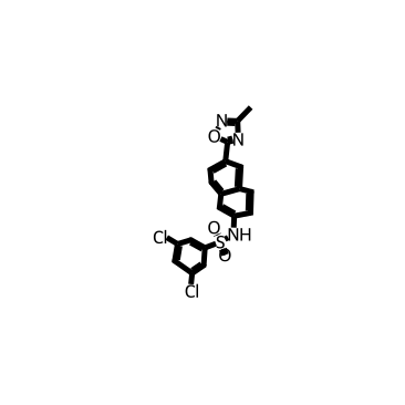 Cc1noc(-c2ccc3cc(NS(=O)(=O)c4cc(Cl)cc(Cl)c4)ccc3c2)n1